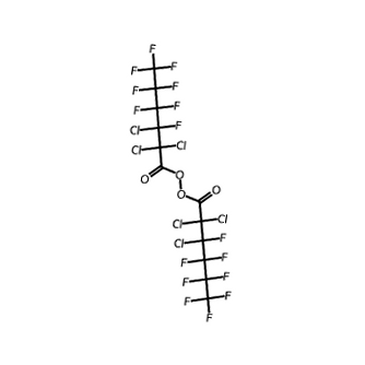 O=C(OOC(=O)C(Cl)(Cl)C(F)(Cl)C(F)(F)C(F)(F)C(F)(F)F)C(Cl)(Cl)C(F)(Cl)C(F)(F)C(F)(F)C(F)(F)F